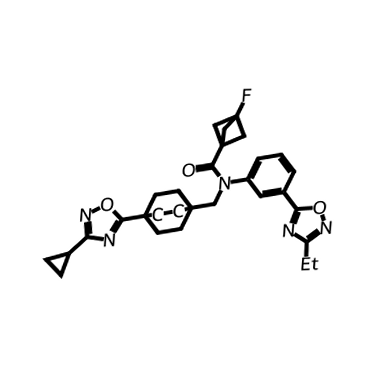 CCc1noc(-c2cccc(N(CC34CCC(c5nc(C6CC6)no5)(CC3)CC4)C(=O)C34CC(F)(C3)C4)c2)n1